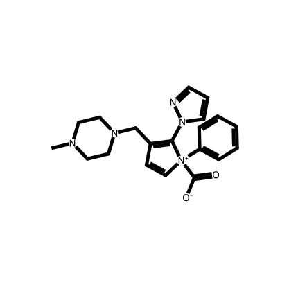 CN1CCN(CC2=C(n3cccn3)[N+](C(=O)[O-])(c3ccccc3)C=C2)CC1